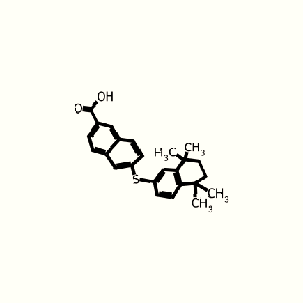 CC1(C)CCC(C)(C)c2cc(Sc3ccc4cc(C(=O)O)ccc4c3)ccc21